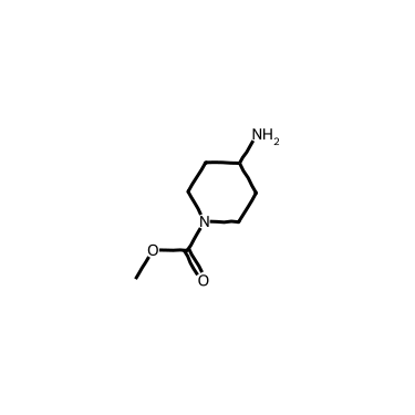 COC(=O)N1CCC(N)CC1